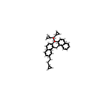 c1ccc2c(Cc3c(CCC4CC4)ccc4ccc(CCC5CC5)cc34)c(CCC3CS3)ccc2c1